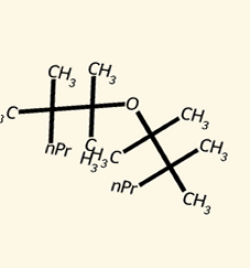 CCCC(C)(C)C(C)(C)OC(C)(C)C(C)(C)CCC